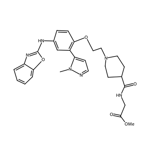 COC(=O)CNC(=O)C1CCN(CCOc2ccc(Nc3nc4ccccc4o3)cc2-c2ccnn2C)CC1